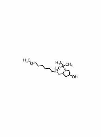 COCCCCCCOCC1CC(O)CN1C(C)(C)C